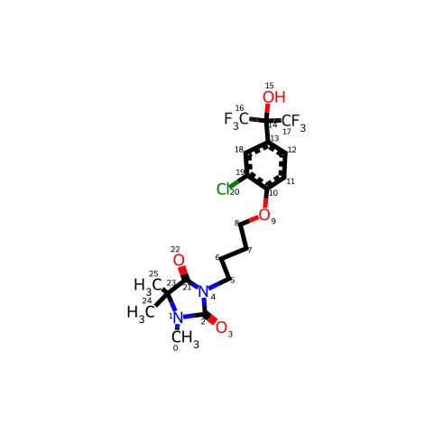 CN1C(=O)N(CCCCOc2ccc(C(O)(C(F)(F)F)C(F)(F)F)cc2Cl)C(=O)C1(C)C